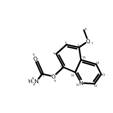 COc1ccc(OC(N)=O)c2ncccc12